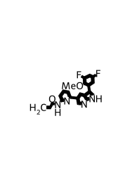 C=CC(=O)Nc1cccc(-c2cnc3[nH]cc(-c4cc(F)cc(F)c4OC)c3c2)n1